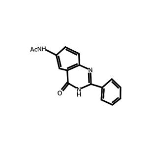 CC(=O)Nc1ccc2nc(-c3ccccc3)[nH]c(=O)c2c1